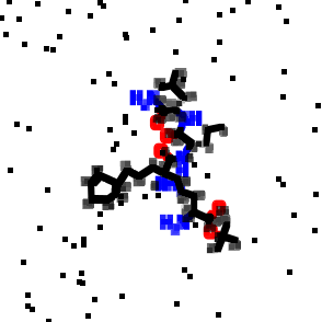 CCC[C@H](NC(=O)[C@](N)(CCCc1ccccc1)CCCC(N)C(=O)OC(C)(C)C)C(=O)N[C@@H](CC(C)C)C(N)=O